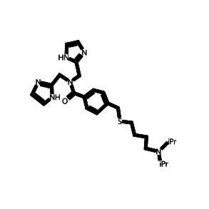 CC(C)N(CCCCSCc1ccc(C(=O)N(Cc2ncc[nH]2)Cc2ncc[nH]2)cc1)C(C)C